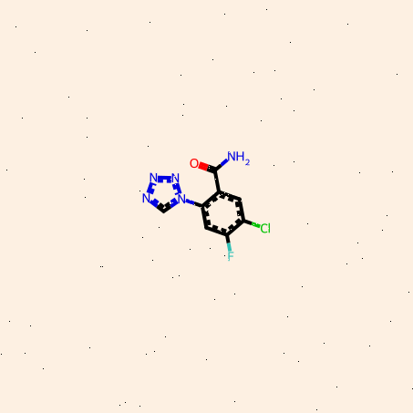 NC(=O)c1cc(Cl)c(F)cc1-n1cnnn1